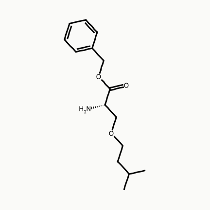 CC(C)CCOC[C@H](N)C(=O)OCc1ccccc1